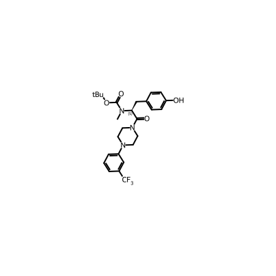 CN(C(=O)OC(C)(C)C)[C@@H](Cc1ccc(O)cc1)C(=O)N1CCN(c2cccc(C(F)(F)F)c2)CC1